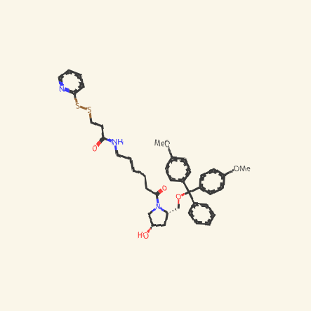 COc1ccc(C(OC[C@@H]2C[C@@H](O)CN2C(=O)CCCCCNC(=O)CCSSc2ccccn2)(c2ccccc2)c2ccc(OC)cc2)cc1